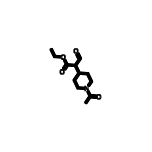 CCOC(=O)C(C=O)C1CCN(C(C)=O)CC1